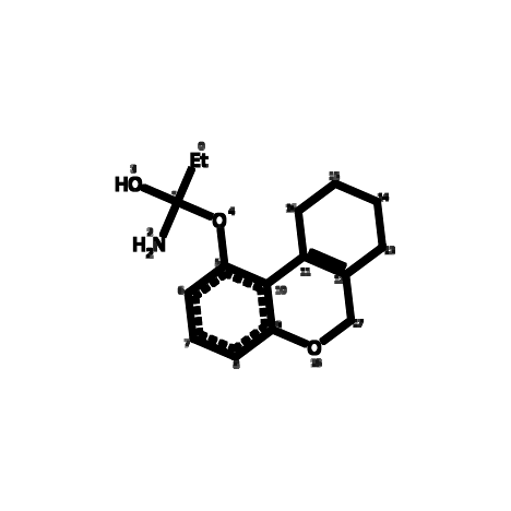 CCC(N)(O)Oc1cccc2c1C1=C(CCCC1)CO2